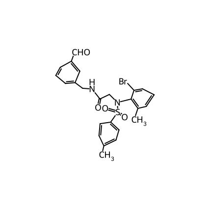 Cc1ccc(S(=O)(=O)N(CC(=O)NCc2cccc(C=O)c2)c2c(C)cccc2Br)cc1